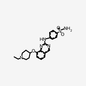 CCN1CCC(Oc2cccc3cnc(Nc4ccc(S(N)(=O)=O)cc4)nc23)CC1